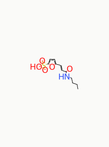 CCCCNC(=O)C=Cc1ccc(S(=O)(=O)O)o1